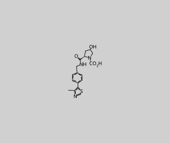 Cc1ncsc1-c1ccc(CNC(=O)[C@H]2CC(O)CN2C(=O)O)cc1